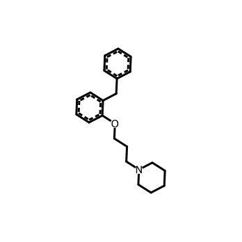 c1ccc(Cc2ccccc2OCCCN2CCCCC2)cc1